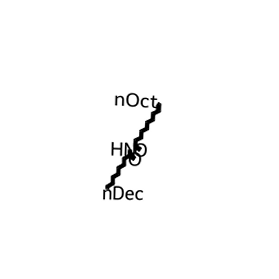 CCCCCCCC/C=C\CCCCCCCC(=O)NC(=O)CCCCCCCCCCCCCCCCC